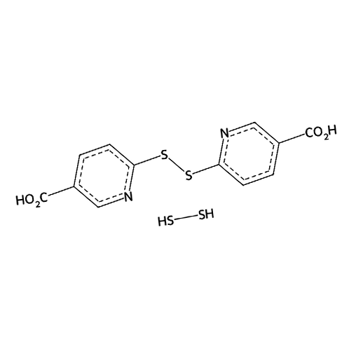 O=C(O)c1ccc(SSc2ccc(C(=O)O)cn2)nc1.SS